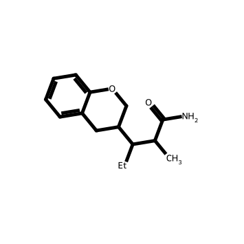 CCC(C1COc2ccccc2C1)C(C)C(N)=O